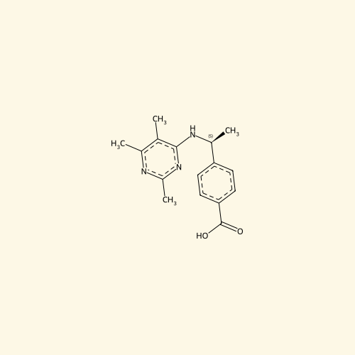 Cc1nc(C)c(C)c(N[C@@H](C)c2ccc(C(=O)O)cc2)n1